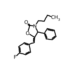 CCCCN1C(=O)OC(=Cc2ccc(F)cc2)C1c1ccccc1